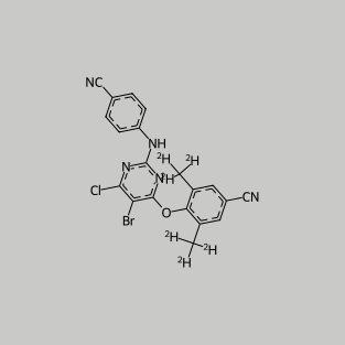 [2H]C([2H])([2H])c1cc(C#N)cc(C([2H])([2H])[2H])c1Oc1nc(Nc2ccc(C#N)cc2)nc(Cl)c1Br